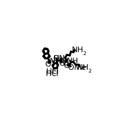 COC(=O)C(CCCN)NC(=O)C(CCCCN)NC(=O)C(=O)c1ccccc1NC(=O)c1ccc2ccccc2c1.Cl.Cl